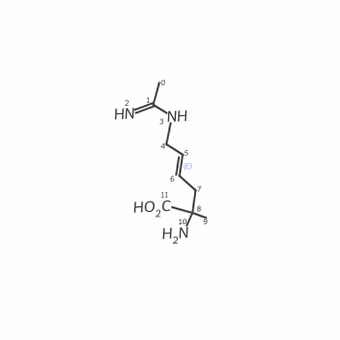 CC(=N)NC/C=C/CC(C)(N)C(=O)O